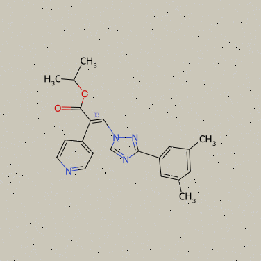 Cc1cc(C)cc(-c2ncn(/C=C(/C(=O)OC(C)C)c3ccncc3)n2)c1